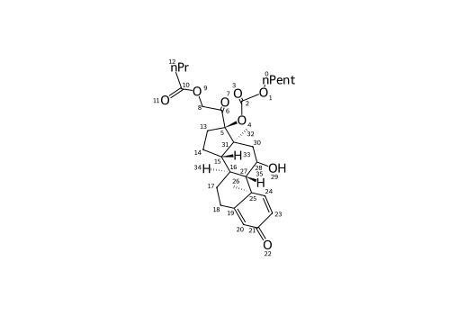 CCCCCOC(=O)O[C@]1(C(=O)COC(=O)CCC)CC[C@H]2[C@@H]3CCC4=CC(=O)C=C[C@]4(C)[C@H]3C(O)C[C@@]21C